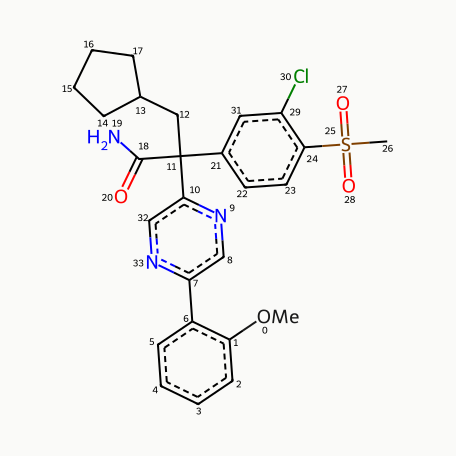 COc1ccccc1-c1cnc(C(CC2CCCC2)(C(N)=O)c2ccc(S(C)(=O)=O)c(Cl)c2)cn1